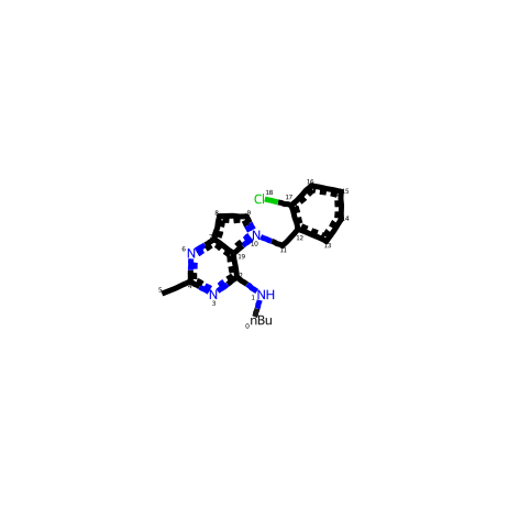 CCCCNc1nc(C)nc2ccn(Cc3ccccc3Cl)c12